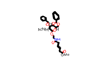 COC(=O)CCCCC(=O)NCCO[C@H]1O[C@@H]2COC(c3ccccc3)O[C@@H]2[C@H](OCc2ccccc2)[C@H]1NC(C)=O